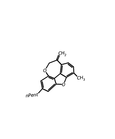 C=C1COc2cc(CCCCC)cc3oc4c(C)ccc1c4c23